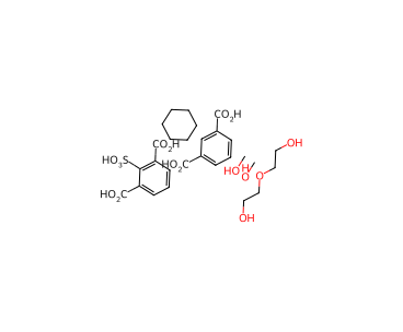 C1CCCCC1.CO.CO.O=C(O)c1cccc(C(=O)O)c1.O=C(O)c1cccc(C(=O)O)c1S(=O)(=O)O.OCCOCCO